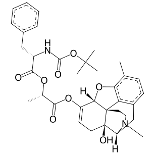 Cc1ccc2c3c1O[C@H]1C(OC(=O)[C@H](C)OC(=O)[C@H](Cc4ccccc4)NC(=O)OC(C)(C)C)=CC[C@@]4(O)[C@@H](C2)N(C)CC[C@]314